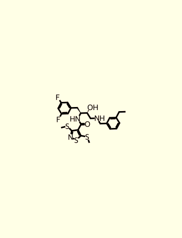 CCc1cccc(CNC[C@@H](O)[C@H](Cc2cc(F)cc(F)c2)NC(=O)c2c(SC)nsc2SC)c1